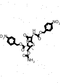 C[C@@]1(COC(N)=O)SC2[C@H](NC(=O)OCc3ccc([N+](=O)[O-])cc3)C(=O)N2[C@H]1C(=O)OCc1ccc([N+](=O)[O-])cc1